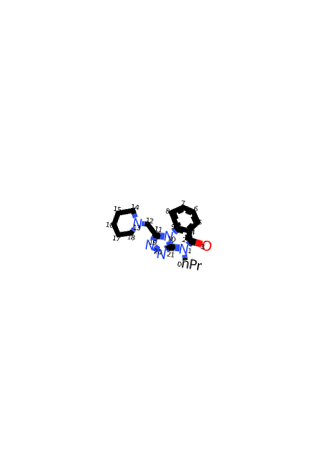 CCCn1c(=O)c2ccccc2n2c(CN3CCCCC3)nnc12